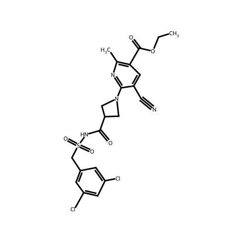 CCOC(=O)c1cc(C#N)c(N2CC(C(=O)NS(=O)(=O)Cc3cc(Cl)cc(Cl)c3)C2)nc1C